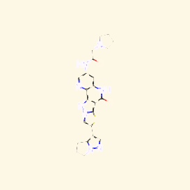 C[C@H]1CCCN1CC(=O)Nc1cnc2c(c1)[nH]c(=O)c1c2nn2cc(-c3cnn4c3CCC4)sc12